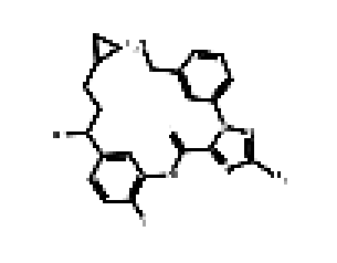 NCc1cccc(-n2nc(C(F)(F)F)nc2C(=O)Nc2cc(C(O)CCC3CC3)ccc2F)c1